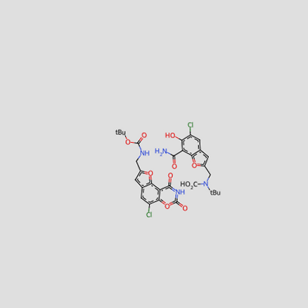 CC(C)(C)N(Cc1cc2cc(Cl)c(O)c(C(N)=O)c2o1)C(=O)O.CC(C)(C)OC(=O)NCc1cc2cc(Cl)c3oc(=O)[nH]c(=O)c3c2o1